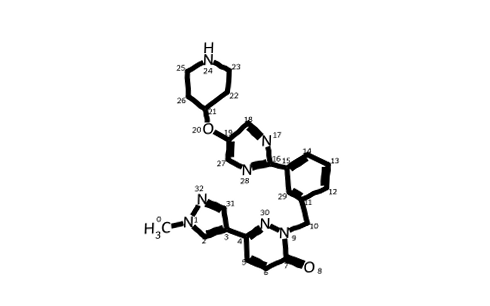 Cn1cc(-c2ccc(=O)n(Cc3cccc(-c4ncc(OC5CCNCC5)cn4)c3)n2)cn1